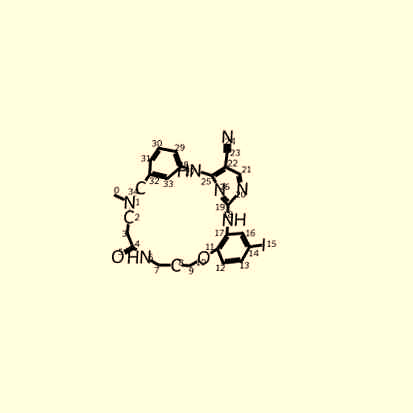 CN1CCC(=O)NCCCOc2ccc(I)cc2Nc2ncc(C#N)c(n2)Nc2cccc(c2)C1